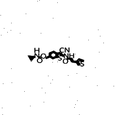 N#Cc1c(NC(=O)C=Cc2ccsc2)sc2c1CCC(COC(=O)NC1CC1)C2